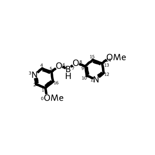 COc1cncc(OBOc2cncc(OC)c2)c1